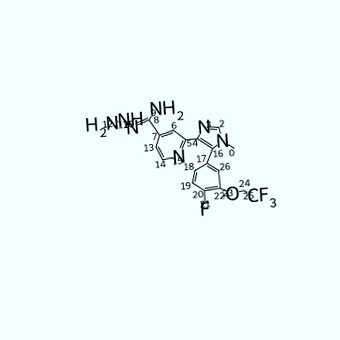 Cn1cnc(-c2cc(/C(N)=N/NN)ccn2)c1-c1ccc(F)c(OCC(F)(F)F)c1